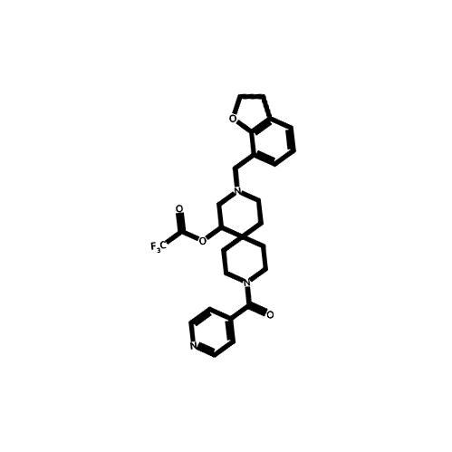 O=C(c1ccncc1)N1CCC2(CCN(Cc3cccc4c3OCC4)CC2OC(=O)C(F)(F)F)CC1